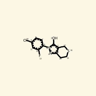 Oc1c2c(nn1-c1ccc(Cl)cc1F)CCSC2